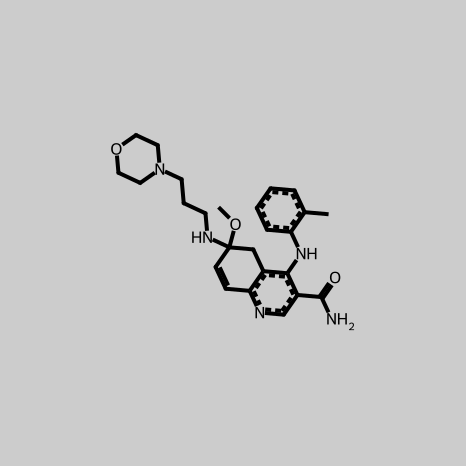 COC1(NCCCN2CCOCC2)C=Cc2ncc(C(N)=O)c(Nc3ccccc3C)c2C1